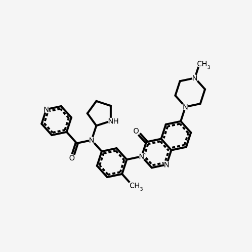 Cc1ccc(N(C(=O)c2ccncc2)C2CCCN2)cc1-n1cnc2ccc(N3CCN(C)CC3)cc2c1=O